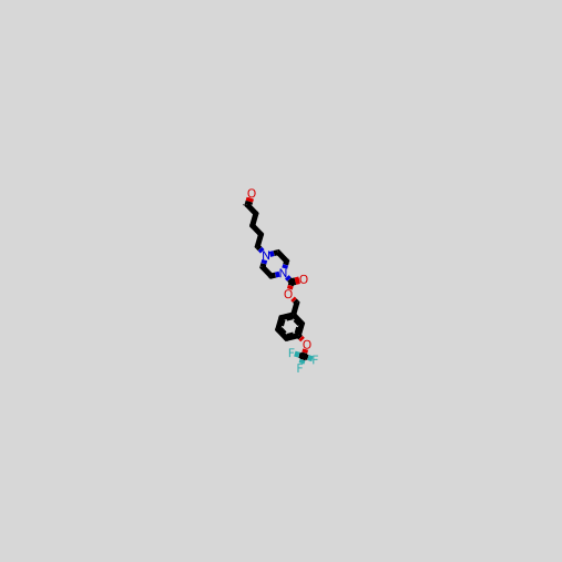 O=[C]CCCCN1CCN(C(=O)OCc2cccc(OC(F)(F)F)c2)CC1